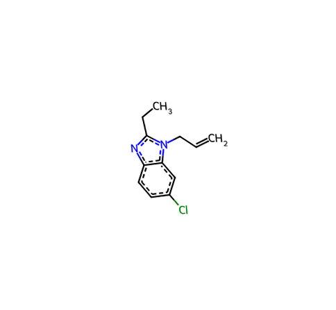 C=CCn1c(CC)nc2ccc(Cl)cc21